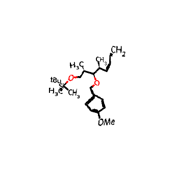 C=C/C=C\[C@H](C)[C@@H](OCc1ccc(OC)cc1)[C@@H](C)CO[Si](C)(C)C(C)(C)C